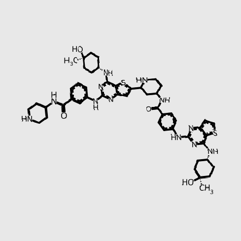 C[C@]1(O)CC[C@H](Nc2nc(Nc3ccc(C(=O)NC4CCNC(c5cc6nc(Nc7cccc(C(=O)NC8CCNCC8)c7)nc(N[C@H]7CC[C@](C)(O)CC7)c6s5)C4)cc3)nc3ccsc23)CC1